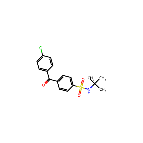 CC(C)(C)NS(=O)(=O)c1ccc(C(=O)c2ccc(Cl)cc2)cc1